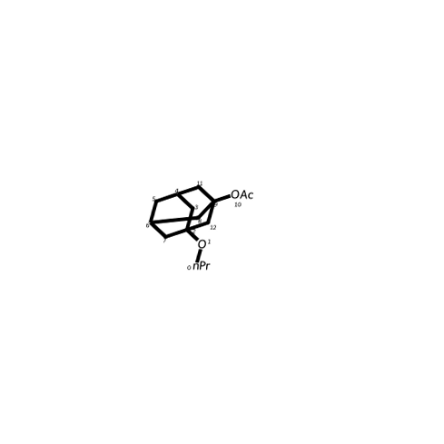 CCCOC12CC3CC(C1)CC(OC(C)=O)(C3)C2